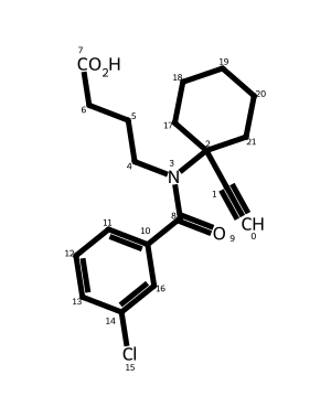 C#CC1(N(CCCC(=O)O)C(=O)c2cccc(Cl)c2)CCCCC1